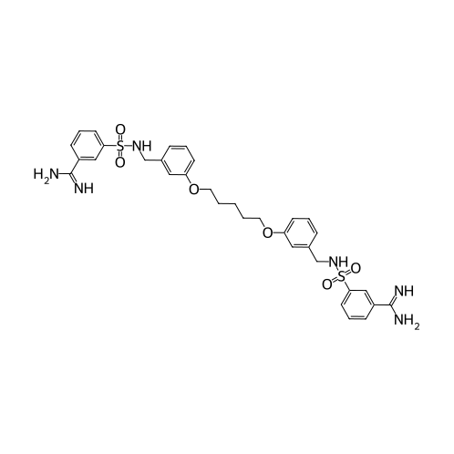 N=C(N)c1cccc(S(=O)(=O)NCc2cccc(OCCCCCOc3cccc(CNS(=O)(=O)c4cccc(C(=N)N)c4)c3)c2)c1